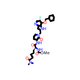 COC(=O)N[C@@H](CC/C=C/C(=O)N(C)C)C(=O)Nc1cccn(Cc2cc3ncc(F)c(OCc4ccccc4)c3[nH]2)c1=O